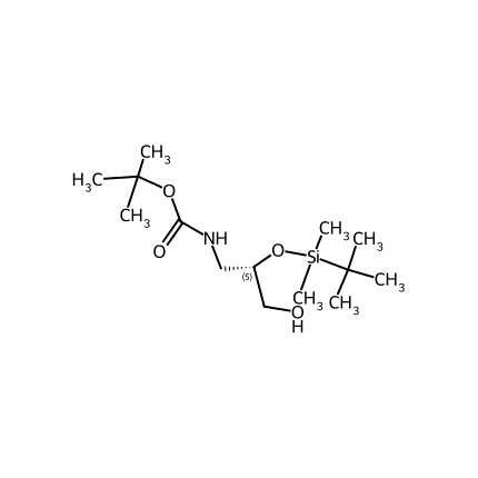 CC(C)(C)OC(=O)NC[C@@H](CO)O[Si](C)(C)C(C)(C)C